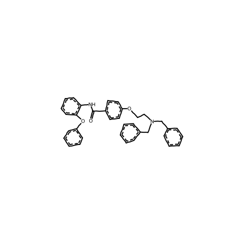 O=C(Nc1ccccc1Oc1ccccc1)c1ccc(OCCN(Cc2ccccc2)Cc2ccccc2)cc1